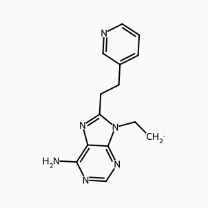 [CH2]Cn1c(CCc2cccnc2)nc2c(N)ncnc21